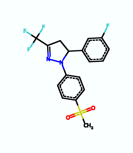 CS(=O)(=O)c1ccc(N2N=C(C(F)(F)F)CC2c2cccc(F)c2)cc1